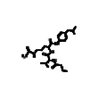 CCCC(=O)NC(C(=O)N[C@@H](CCCNC(N)=O)C(=O)Nc1ccc(CC(C)C)cc1)C(C)C